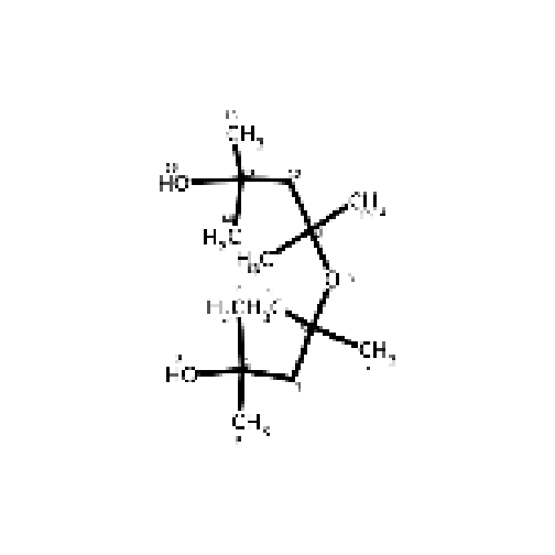 CC(C)(O)CC(C)(C)OC(C)(C)CC(C)(C)O